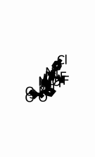 O=C(Nc1cccnc1-n1cnc(Cn2nc(-c3ccc(Cl)cc3)n(C[C@H](O)C(F)(F)F)c2=O)n1)C1CS(=O)(=O)C1